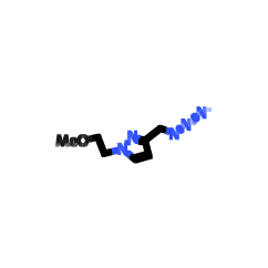 COCCn1ccc(CN=[N+]=[N-])n1